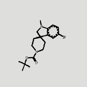 CN1CC2(CCN(C(=O)OC(C)(C)C)CC2)c2cc(Br)ccc21